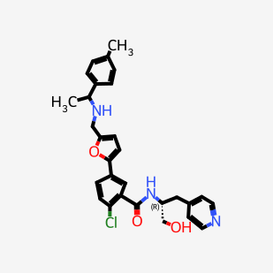 Cc1ccc(C(C)NCc2ccc(-c3ccc(Cl)c(C(=O)N[C@@H](CO)Cc4ccncc4)c3)o2)cc1